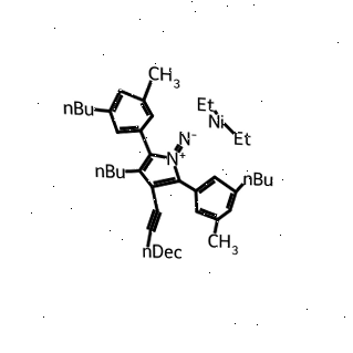 CCCCCCCCCCC#CC1=C(c2cc(C)cc(CCCC)c2)[N+](=[N-])C(c2cc(C)cc(CCCC)c2)=C1CCCC.C[CH2][Ni][CH2]C